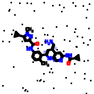 Cc1ccc(NC(=O)c2cc(C3CC3)n(C)n2)cc1/C(N)=C/C(=C\N)c1ccnc(NC(=O)C2CC2)c1